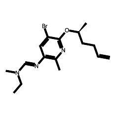 C=CCC[C@H](C)Oc1nc(C)c(/N=C/N(C)CC)cc1Br